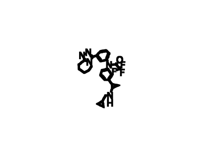 O=C(N(c1cccc(-c2nnc3n2CCCCC3)c1)c1cccc(C2CC2NCC2CC2)c1)C(F)(F)F